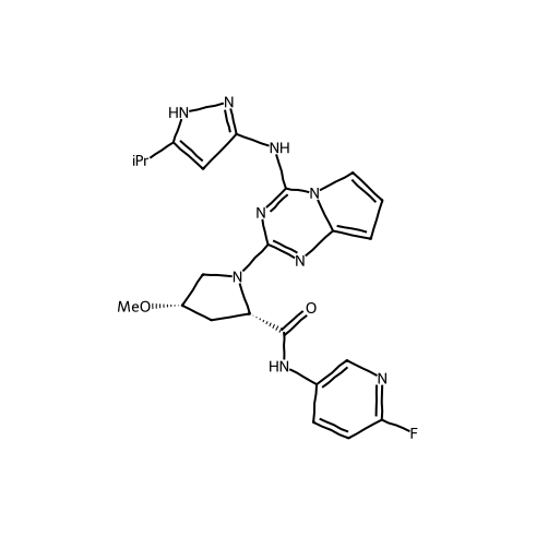 CO[C@H]1C[C@@H](C(=O)Nc2ccc(F)nc2)N(c2nc(Nc3cc(C(C)C)[nH]n3)n3cccc3n2)C1